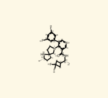 C[C@H]1CC[C@]2(CCN(c3c(C(=O)N[C@H](C)C4CC(F)(F)C4)cncc3-c3cc(F)cc(F)c3)C2)N1